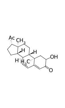 CC(=O)[C@H]1CC[C@H]2[C@@H]3C=CC4=CC(=O)C(O)C[C@]4(C)[C@H]3CC[C@]12C